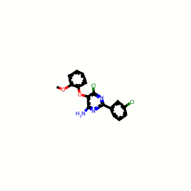 COc1ccccc1Oc1c(N)nc(-c2cccc(Cl)c2)nc1Cl